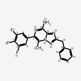 Cc1c(-c2cc(F)c(F)c(F)c2)nc(N)c2nc(Cc3ccccc3)nn12